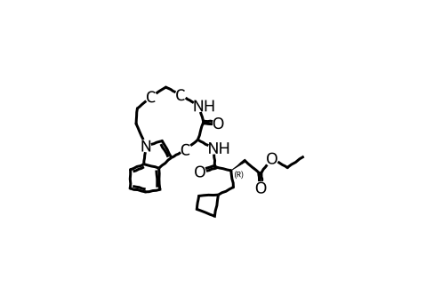 CCOC(=O)C[C@@H](CC1CCC1)C(=O)NC1Cc2cn(c3ccccc23)CCCCCNC1=O